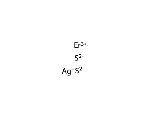 [Ag+].[Er+3].[S-2].[S-2]